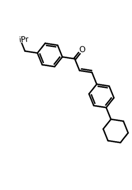 CC(C)Cc1ccc(C(=O)C=Cc2ccc(C3CCCCC3)cc2)cc1